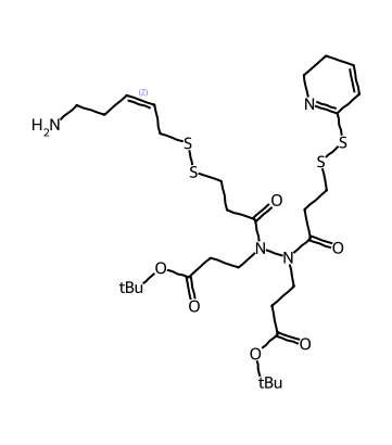 CC(C)(C)OC(=O)CCN(C(=O)CCSSC/C=C\CCN)N(CCC(=O)OC(C)(C)C)C(=O)CCSSC1=NCCC=C1